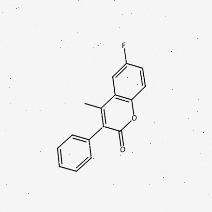 Cc1c(-c2ccccc2)c(=O)oc2ccc(F)cc12